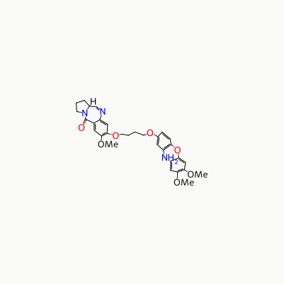 COc1ccc(Oc2ccc(OCCCCOc3cc4c(cc3OC)C(=O)N3CCC[C@H]3C=N4)cc2N)cc1OC